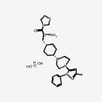 Cc1cc(N2CCN([C@H]3CC[C@@H](C[C@H](N)C(=O)N4CCSC4)CC3)CC2)n(-c2ccccc2)n1.Cl.Cl.Cl